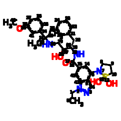 CCn1ncc2c(N3CCCS3(O)O)cc(C(=O)N[C@@H](Cc3ccccc3)[C@@H](O)CNC(C)(C)c3cccc(OC)c3)cc21